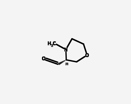 CN1CCOC[C@@H]1C=O